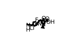 CNCC(Cl)=C1CCN(c2nc3c(cc2F)c(=O)c(C(=O)O)cn3C2CC2)CC1